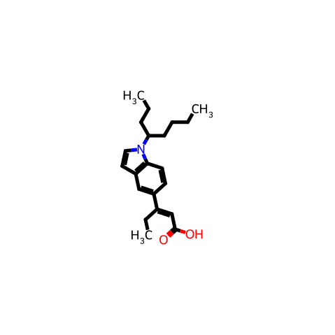 CCCCC(CCC)n1ccc2cc(C(=CC(=O)O)CC)ccc21